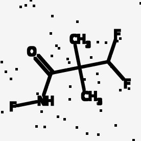 CC(C)(C(=O)NF)C(F)F